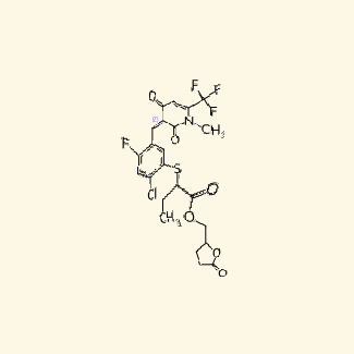 CCC(Sc1cc(/C=C2/C(=O)C=C(C(F)(F)F)N(C)C2=O)c(F)cc1Cl)C(=O)OCC1CCC(=O)O1